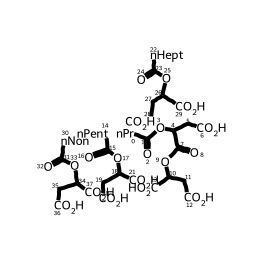 CCCC(=O)OC(CC(=O)O)C(=O)OC(CC(=O)O)C(=O)O.CCCCCC(=O)OC(CC(=O)O)C(=O)O.CCCCCCCC(=O)OC(CC(=O)O)C(=O)O.CCCCCCCCCC(=O)OC(CC(=O)O)C(=O)O